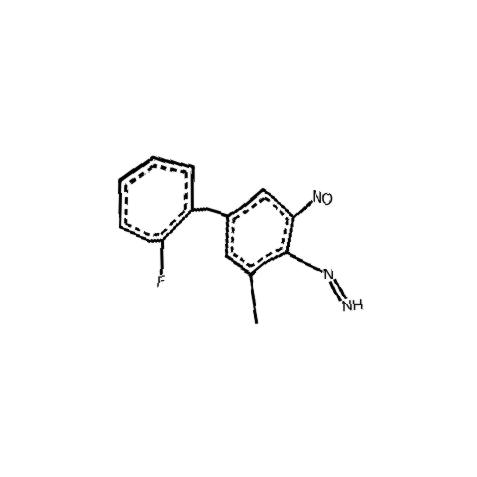 Cc1cc(-c2ccccc2F)cc(N=O)c1N=N